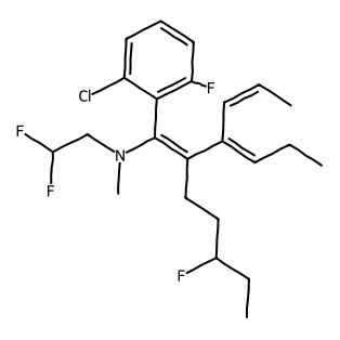 C\C=C/C(=C\CC)C(/CCC(F)CC)=C(\c1c(F)cccc1Cl)N(C)CC(F)F